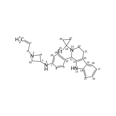 C=CCN1CC(Nc2ccc(C3c4[nH]c5ccccc5c4CCN3C3(CC)CC3)cc2)C1